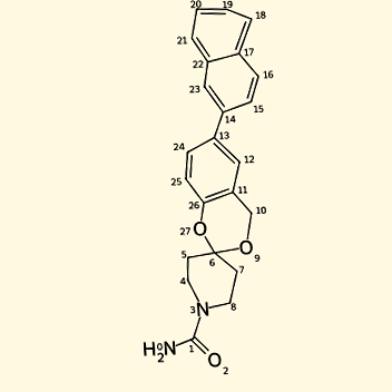 NC(=O)N1CCC2(CC1)OCc1cc(-c3ccc4ccccc4c3)ccc1O2